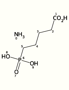 N.O=C(O)CCCCP(=O)(O)O